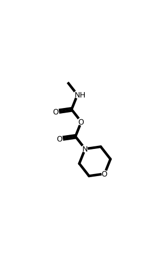 CNC(=O)OC(=O)N1CCOCC1